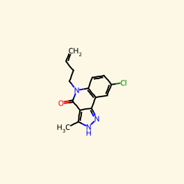 C=CCCn1c(=O)c2c(C)[nH]nc2c2cc(Cl)ccc21